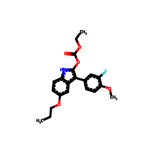 CCCOc1ccc2[nH]c(OC(=O)OCC)c(-c3ccc(OC)c(F)c3)c2c1